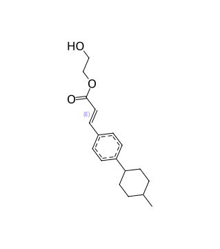 CC1CCC(c2ccc(/C=C/C(=O)OCCO)cc2)CC1